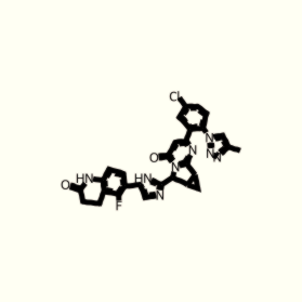 Cc1cn(-c2ccc(Cl)cc2-c2cc(=O)n3c(n2)C2CC2C3c2ncc(-c3ccc4c(c3F)CCC(=O)N4)[nH]2)nn1